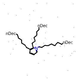 CCCCCCCCCCCCCCCCCC[n+]1cccc(CCCCCCCCCCCCCCCC)c1CCCCCCCCCCCCCCCC